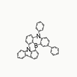 c1ccc(-c2ccc3c(c2)B2c4c(cccc4-n4c5ccccc5c5cccc2c54)N3c2ccccc2)cc1